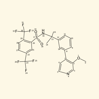 COc1cnccc1-c1cccc(C(C)(C)NS(=O)(=O)c2cc(C(F)(F)F)ccc2C(F)(F)F)c1